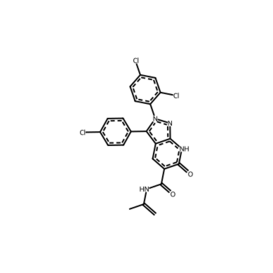 C=C(C)NC(=O)c1cc2c(-c3ccc(Cl)cc3)n(-c3ccc(Cl)cc3Cl)nc2[nH]c1=O